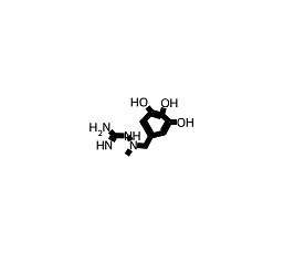 CN(Cc1cc(O)c(O)c(O)c1)NC(=N)N